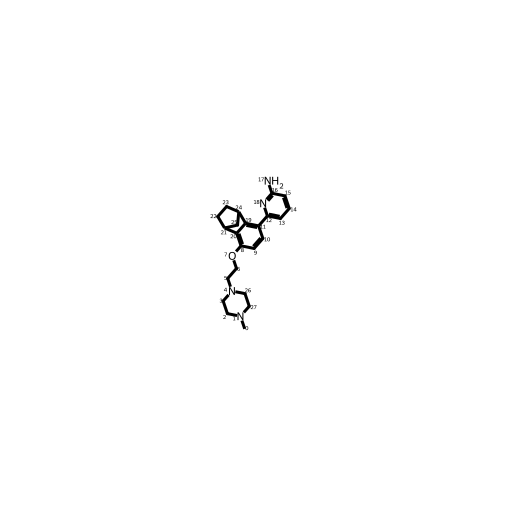 CN1CCN(CCOc2ccc(-c3cccc(N)n3)c3c2C2CCC3C2)CC1